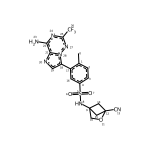 Cc1ccc(S(=O)(=O)NC23COC(C#N)(C2)C3)cc1-c1cnc2c(N)nc(C(F)(F)F)nn12